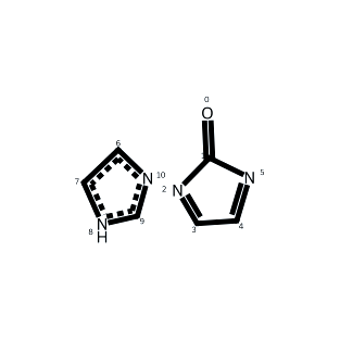 O=C1N=CC=N1.c1c[nH]cn1